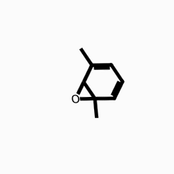 CC1=CC=CC2(C)OC12